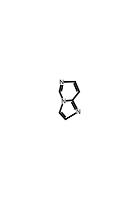 c1cc2nccn2cn1